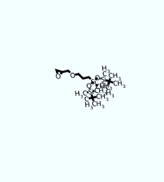 CC(C)(C)[Si](C)(C)O[Si](C)(CCCOCC1CO1)O[Si](C)(C)C(C)(C)C